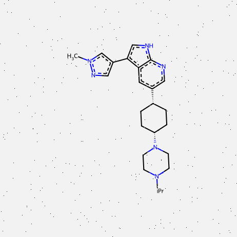 CC(C)N1CCN([C@H]2CC[C@@H](c3cnc4[nH]cc(-c5cnn(C)c5)c4c3)CC2)CC1